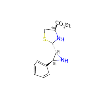 CCOC(=O)[C@@H]1CSC([C@@H]2N[C@H]2c2ccccc2)N1